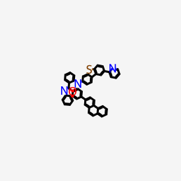 c1ccc(-c2ccc3sc4cc(N(c5cccc(-c6ccc7c(ccc8ccccc87)c6)c5)c5ccccc5-c5nc6ccccc6o5)ccc4c3c2)nc1